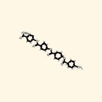 COC(=O)c1ccc(OC(=O)c2ccc(OC(=O)c3ccc(OC(=O)c4ccc(C)cc4)cc3)cc2)cc1